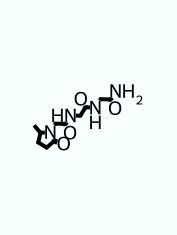 CC1CCC(=O)N1CC(=O)NCC(=O)NCC(N)=O